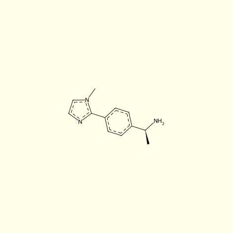 C[C@H](N)c1ccc(-c2nccn2C)cc1